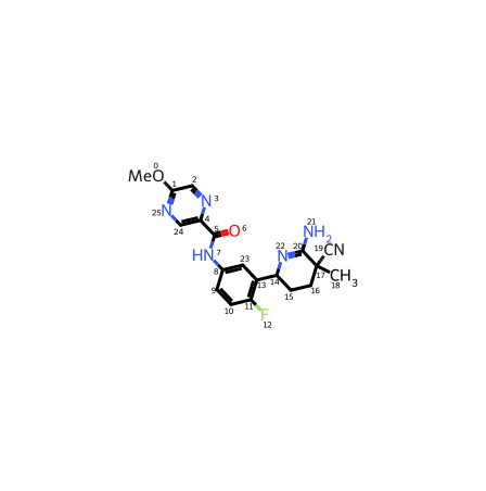 COc1cnc(C(=O)Nc2ccc(F)c(C3CCC(C)(C#N)C(N)=N3)c2)cn1